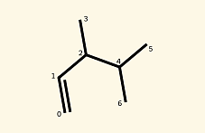 C=CC(C)C(C)C